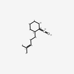 CC(C)=CCCC1CCCCC1=C=O